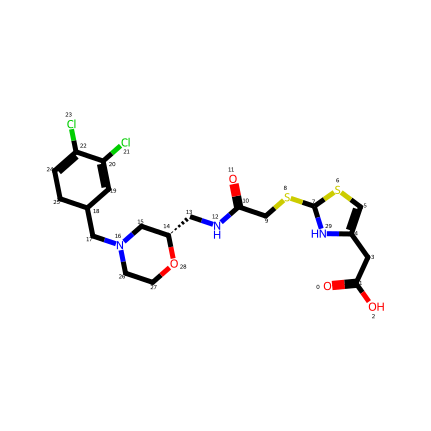 O=C(O)CC1=CSC(SCC(=O)NC[C@H]2CN(CC3C=C(Cl)C(Cl)=CC3)CCO2)N1